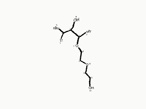 CCCCC(CC)C(O)C(CCC)OCCOCCO